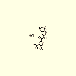 CCC(=O)c1cc(C(=O)Nc2cnc3c(c2)CN(C)CC3(C)C)ccc1OC.Cl